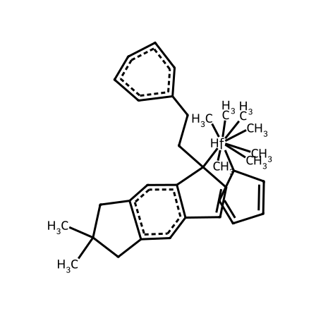 CC1(C)Cc2cc3c(cc2C1)[C](CCc1ccccc1)([Hf]([CH3])([CH3])([CH3])([CH3])([CH3])([CH3])([CH3])[CH]1C=CC=C1)C=C3